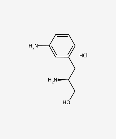 Cl.Nc1cccc(C[C@H](N)CO)c1